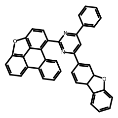 C1=CC2c3ccccc3OC2C=C1c1cc(-c2ccccc2)nc(-c2ccc3oc4cccc5c6ccccc6c2c3c45)n1